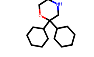 C1CCC(C2(C3CCCCC3)CNCCO2)CC1